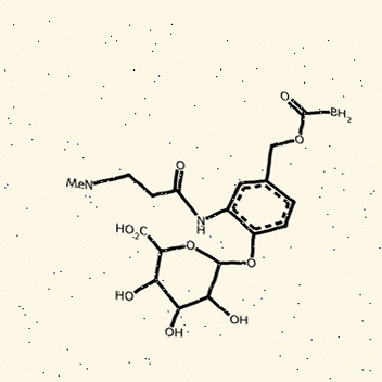 BC(=O)OCc1ccc(OC2OC(C(=O)O)C(O)C(O)C2O)c(NC(=O)CCNC)c1